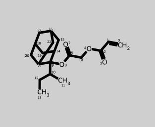 C=CC(=O)OCC(=O)OC1(C(C)CC)C2CC3CC(C2)CC1C3